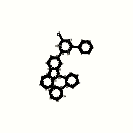 Clc1nc(-c2ccccc2)nc(-c2ccc3c4ccccc4n(-c4ccccc4-c4ccccc4)c3c2)n1